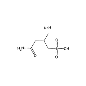 CC(CC(N)=O)CS(=O)(=O)O.[NaH]